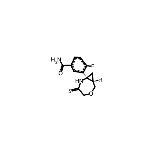 NC(=O)c1ccc(F)c([C@]23C[C@@H]2COCC(=S)N3)c1